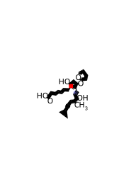 C[C@@H](CC#CC1CC1)[C@H](O)/C=C/[C@@H]1[C@@H](CCCCCCC(=O)O)[C@@H](O)C[C@H]1OC1CCCCO1